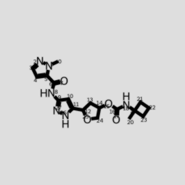 Cn1nccc1C(=O)Nc1cc(C2CC(OC(=O)NC3(C)CCC3)CO2)[nH]n1